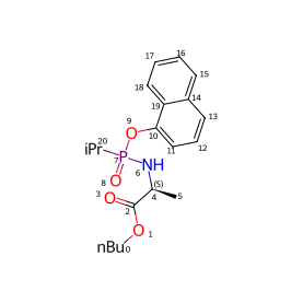 CCCCOC(=O)[C@H](C)NP(=O)(Oc1cccc2ccccc12)C(C)C